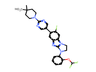 CC1(C(=O)O)CCN(c2ncc(-c3cc4nc5n(c4cc3F)CCN5c3ccccc3OC(F)F)cn2)CC1